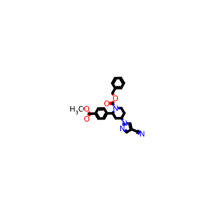 COC(=O)c1ccc(C2CC(n3cc(C#N)cn3)CCN2C(=O)OCc2ccccc2)cc1